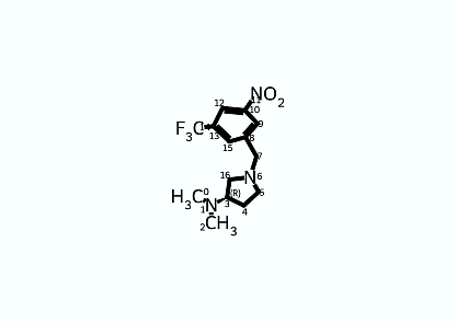 CN(C)[C@@H]1CCN(Cc2cc([N+](=O)[O-])cc(C(F)(F)F)c2)C1